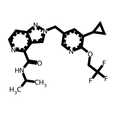 CC(C)NC(=O)c1nccc2nn(Cc3cnc(OCC(F)(F)F)c(C4CC4)c3)cc12